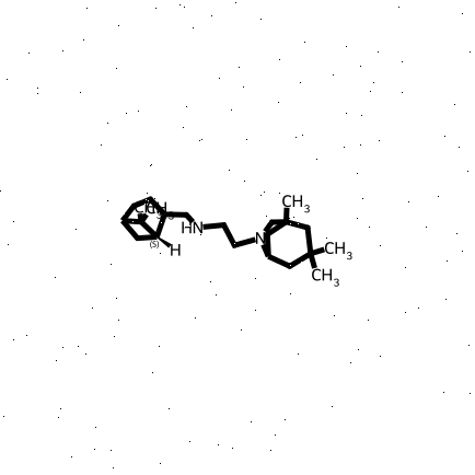 CC1(C)CC2CC(C)(CN2CCNCC2CCC3C[C@@H]2C3(C)C)C1